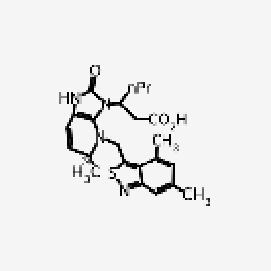 CCCC(CC(=O)O)n1c2c([nH]c1=O)C=C[C@H](C)N2Cc1snc2cc(C)cc(C)c12